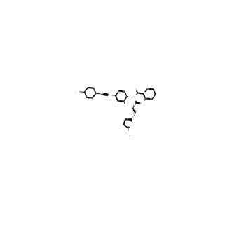 Cc1cc(C#Cc2ccc(C(C)(C)C)cc2)ccc1-n1c(/C=C/c2ccc([N+](=O)[O-])o2)nc2ccccc2c1=O